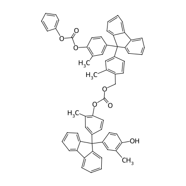 Cc1cc(C2(c3ccc(OC(=O)OCc4ccc(C5(c6ccc(OC(=O)Oc7ccccc7)c(C)c6)c6ccccc6-c6ccccc65)cc4C)c(C)c3)c3ccccc3-c3ccccc32)ccc1O